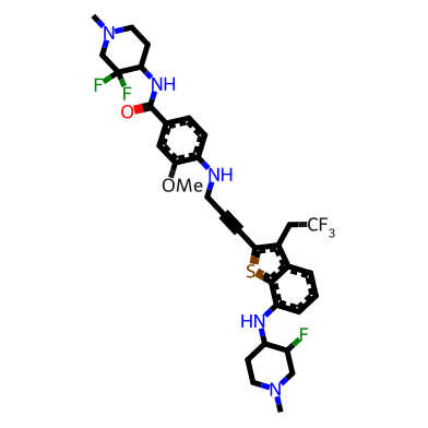 COc1cc(C(=O)NC2CCN(C)CC2(F)F)ccc1NCC#Cc1sc2c(NC3CCN(C)CC3F)cccc2c1CC(F)(F)F